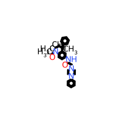 CC(=O)N1c2ccc(NC(=O)CN3CCN(c4ccccc4)CC3)cc2C(C)(c2ccccc2)CC1(C)C